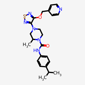 CC(C)c1ccc(NC(=O)N2CCN(c3nsnc3OCc3ccncc3)CC2C)cc1